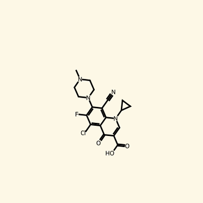 CN1CCN(c2c(F)c(Cl)c3c(=O)c(C(=O)O)cn(C4CC4)c3c2C#N)CC1